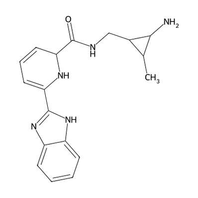 CC1C(N)C1CNC(=O)C1C=CC=C(c2nc3ccccc3[nH]2)N1